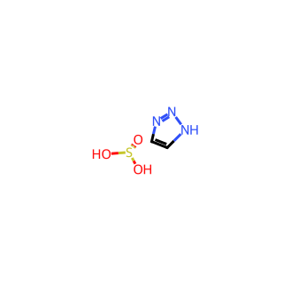 O=S(O)O.c1c[nH]nn1